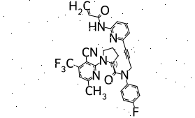 C=CC(=O)Nc1cccc(C#CCN(C(=O)[C@@H]2CCCN2c2nc(C)cc(C(F)(F)F)c2C#N)c2ccc(F)cc2)n1